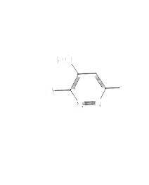 Oc1cc([S])nnc1Cl